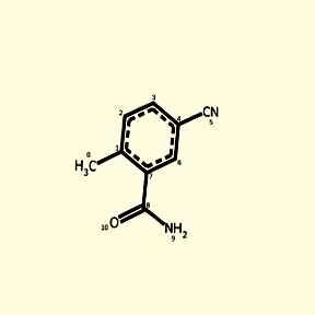 Cc1ccc(C#N)cc1C(N)=O